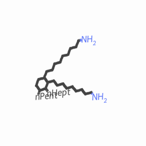 CCCCCCCC1C(CCCCC)CCC(CCCCCCCCCN)C1CCCCCCCCCN